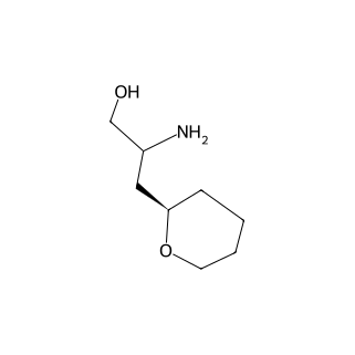 NC(CO)C[C@H]1CCCCO1